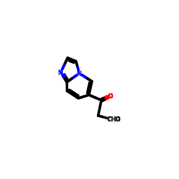 O=CCC(=O)c1ccc2nccn2c1